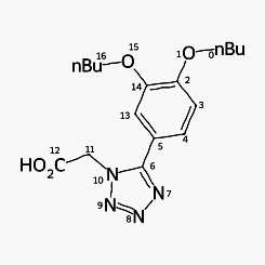 CCCCOc1ccc(-c2nnnn2CC(=O)O)cc1OCCCC